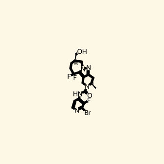 C[C@@H]1Cc2nn3c(c2CN1C(=O)Nc1ccnc(Br)c1F)C(F)(F)CC[C@@H](CO)C3